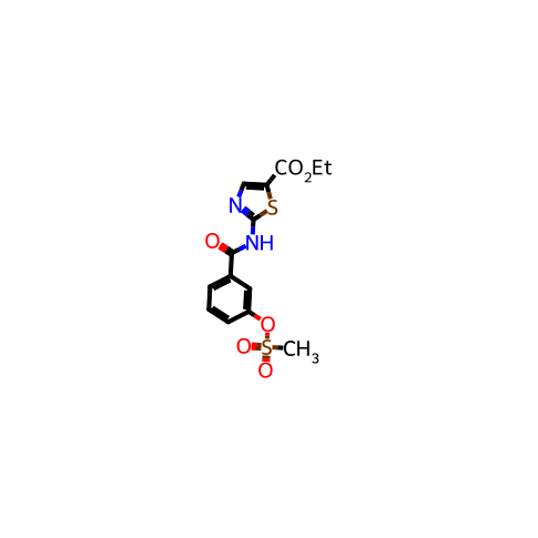 CCOC(=O)c1cnc(NC(=O)c2cccc(OS(C)(=O)=O)c2)s1